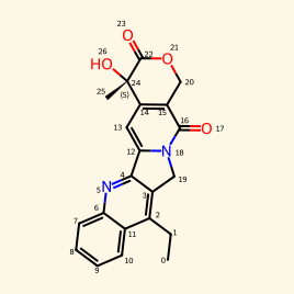 CCc1c2c(nc3ccccc13)-c1cc3c(c(=O)n1C2)COC(=O)[C@@]3(C)O